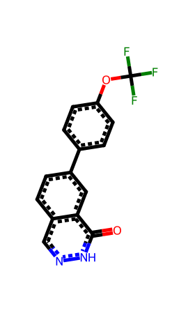 O=c1[nH]ncc2ccc(-c3ccc(OC(F)(F)F)cc3)cc12